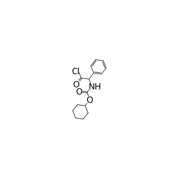 O=C(NC(C(=O)Cl)c1ccccc1)OC1CCCCC1